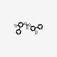 COc1ccc(OBOc2ccc(OC)c(-c3ccccc3)c2)cc1-c1ccccc1